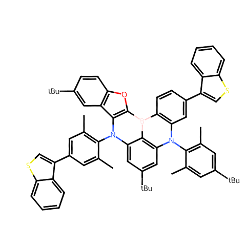 Cc1cc(C(C)(C)C)cc(C)c1N1c2cc(-c3csc4ccccc34)ccc2B2c3oc4ccc(C(C)(C)C)cc4c3N(c3c(C)cc(-c4csc5ccccc45)cc3C)c3cc(C(C)(C)C)cc1c32